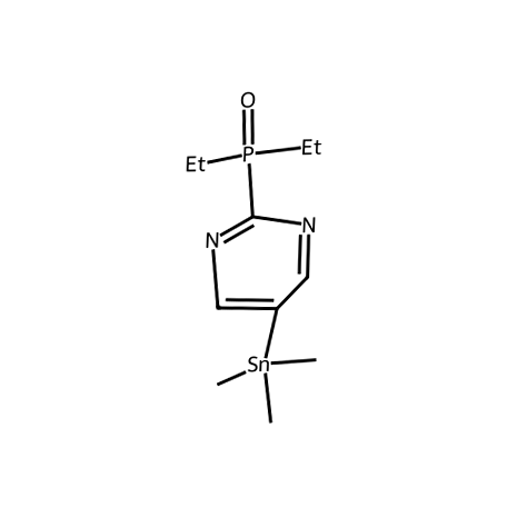 CCP(=O)(CC)c1nc[c]([Sn]([CH3])([CH3])[CH3])cn1